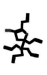 C=CCC1=C(C=O)CC(CC=C)([Si](CC=C)(CC=C)CC=C)O1